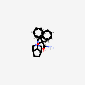 CCC(CC1C2CCC1CN(Cc1ccccc1)C2)(C(N)=O)c1ccccc1